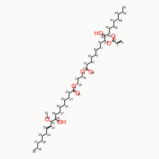 C=CC(=O)OC(CCCCCCCC(=O)OCCCOC(=O)CCCCCCCC(O)C(/C=C/CCCCCC)OC)C(O)CCCCCCCC